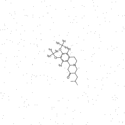 [2H]c1c2c(c([2H])c(OC([2H])([2H])[2H])c1OC([2H])([2H])[2H])C1CC(=O)C(CC(C)C)CN1CC2